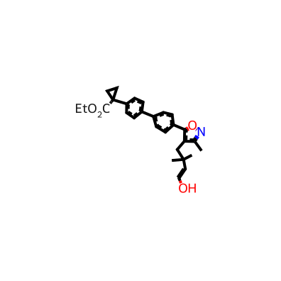 CCOC(=O)C1(c2ccc(-c3ccc(-c4onc(C)c4CC(C)(C)C=CO)cc3)cc2)CC1